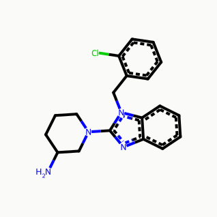 NC1CCCN(c2nc3ccccc3n2Cc2ccccc2Cl)C1